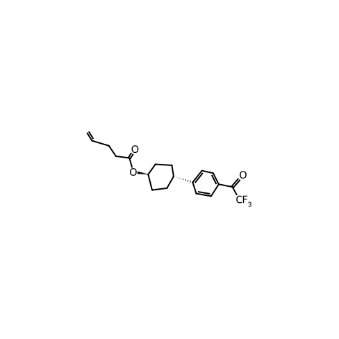 C=CCCC(=O)O[C@H]1CC[C@H](c2ccc(C(=O)C(F)(F)F)cc2)CC1